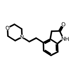 O=C1Cc2c(CCN3CCOCC3)cccc2N1